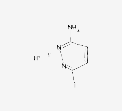 Nc1ccc(I)nn1.[H+].[I-]